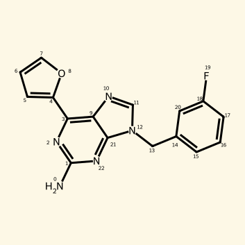 Nc1nc(-c2ccco2)c2ncn(Cc3cccc(F)c3)c2n1